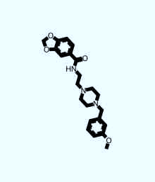 COc1cccc(CN2CCN(CCNC(=O)c3ccc4c(c3)OCO4)CC2)c1